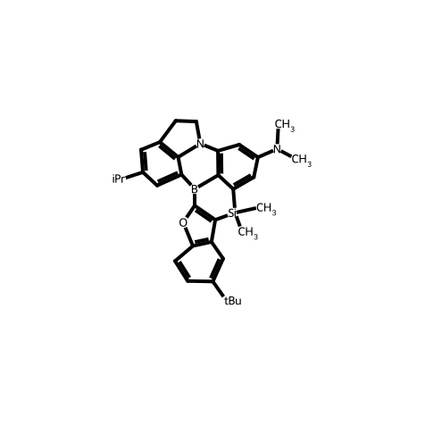 CC(C)c1cc2c3c(c1)B1c4oc5ccc(C(C)(C)C)cc5c4[Si](C)(C)c4cc(N(C)C)cc(c41)N3CC2